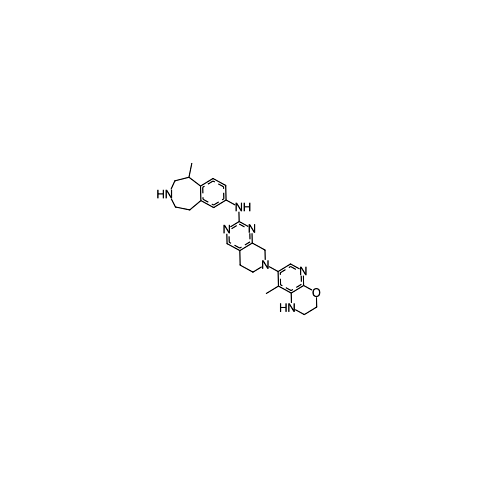 Cc1c(N2CCc3cnc(Nc4ccc5c(c4)CCNCC5C)nc3C2)cnc2c1NCCO2